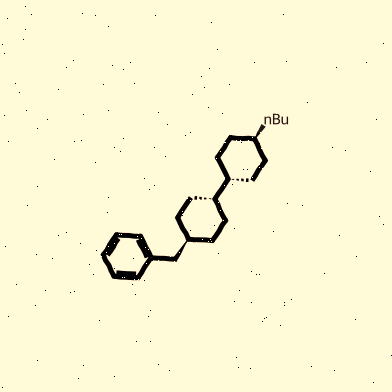 CCCC[C@H]1CC[C@H]([C@H]2CC[C@H](Cc3ccccc3)CC2)CC1